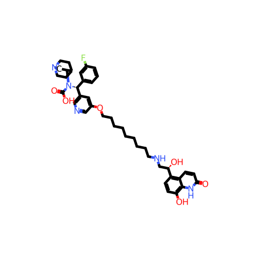 O=C(O)N(C1CN2CCC1CC2)[C@H](c1cccc(F)c1)c1cncc(OCCCCCCCCCNC[C@H](O)c2ccc(O)c3[nH]c(=O)ccc23)c1